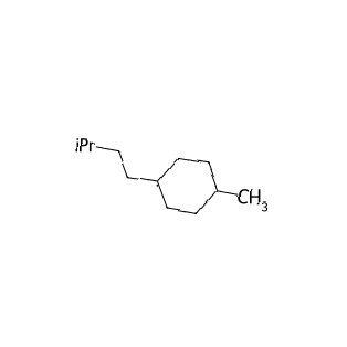 CC(C)CC[C]1CCC(C)CC1